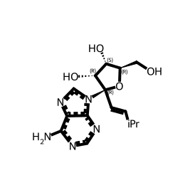 CC(C)C=C[C@@]1(n2cnc3c(N)ncnc32)O[C@H](CO)[C@@H](O)[C@H]1O